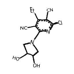 CCc1c(C#N)c(Cl)nc(N2CC(O)C(O)C2)c1C#N